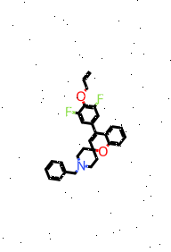 C=CCOc1c(F)cc(C2=CC3(CCN(Cc4ccccc4)CC3)Oc3ccccc32)cc1F